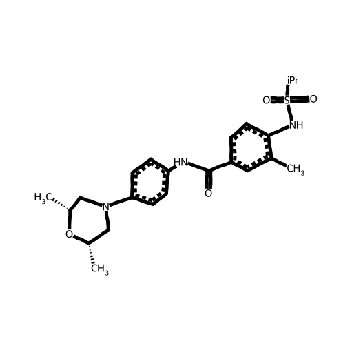 Cc1cc(C(=O)Nc2ccc(N3C[C@@H](C)O[C@@H](C)C3)cc2)ccc1NS(=O)(=O)C(C)C